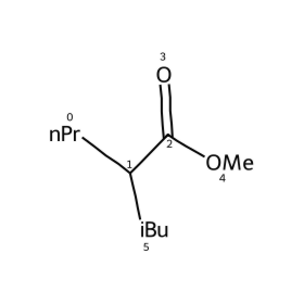 CCCC(C(=O)OC)C(C)CC